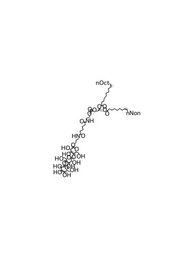 CCCCCCCC/C=C\CCCCCCCC(=O)O[C@H](COC(=O)CCCCCC/C=C\CCCCCCCCC)COP(C)(=O)OCCNC(=O)CCCCC(=O)NCCCO[C@@H]1OC(CO)[C@@H](O[C@@H]2OC(CO)[C@H](O[C@H]3OC(CO)[C@H](O)[C@H](O)C3O)[C@H](O)C2O)[C@H](O)C1O